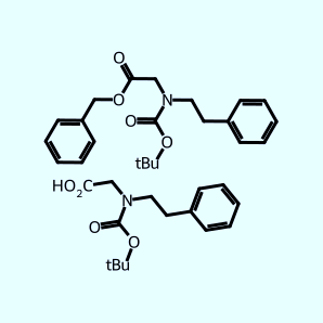 CC(C)(C)OC(=O)N(CCc1ccccc1)CC(=O)O.CC(C)(C)OC(=O)N(CCc1ccccc1)CC(=O)OCc1ccccc1